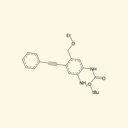 CCOCc1cc(NC(=O)OC(C)(C)C)c(N)cc1C#Cc1ccccc1